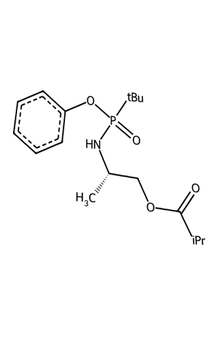 CC(C)C(=O)OC[C@H](C)NP(=O)(Oc1ccccc1)C(C)(C)C